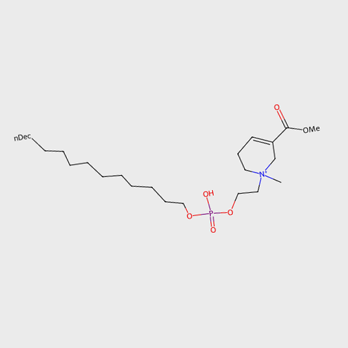 CCCCCCCCCCCCCCCCCCCCOP(=O)(O)OCC[N+]1(C)CCC=C(C(=O)OC)C1